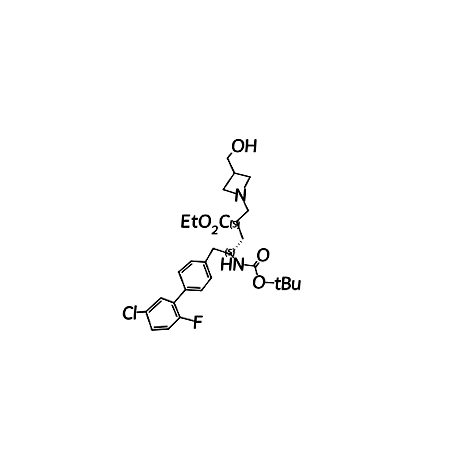 CCOC(=O)[C@@H](C[C@@H](Cc1ccc(-c2cc(Cl)ccc2F)cc1)NC(=O)OC(C)(C)C)CN1CC(CO)C1